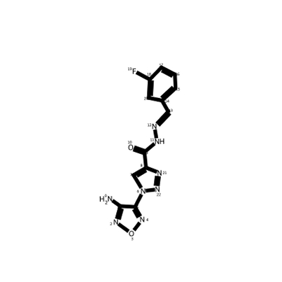 Nc1nonc1-n1cc(C(=O)NN=Cc2cccc(F)c2)nn1